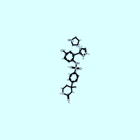 CC1(c2ccc(S(=O)(=O)Nc3ccc(Cl)cc3-c3nncn3[C@H]3CCNC3)cc2)CCOC(=O)C1